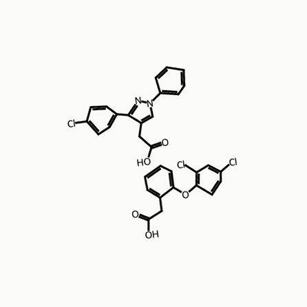 O=C(O)Cc1ccccc1Oc1ccc(Cl)cc1Cl.O=C(O)Cc1cn(-c2ccccc2)nc1-c1ccc(Cl)cc1